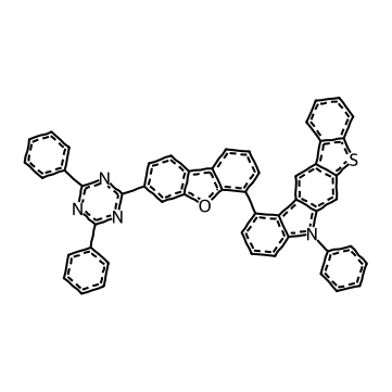 c1ccc(-c2nc(-c3ccccc3)nc(-c3ccc4c(c3)oc3c(-c5cccc6c5c5cc7c(cc5n6-c5ccccc5)sc5ccccc57)cccc34)n2)cc1